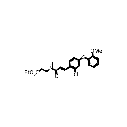 CCOC(=O)CCNC(=O)/C=C/c1ccc(Sc2ccccc2OC)cc1Cl